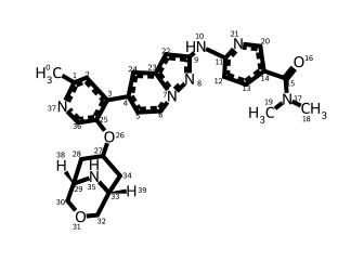 Cc1cc(-c2ccn3nc(Nc4ccc(C(=O)N(C)C)cn4)cc3c2)c(OC2C[C@H]3COC[C@@H](C2)N3)cn1